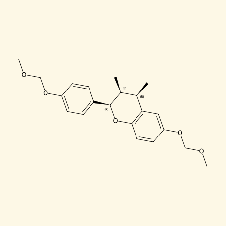 COCOc1ccc([C@@H]2Oc3ccc(OCOC)cc3[C@H](C)[C@@H]2C)cc1